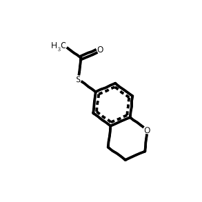 CC(=O)Sc1ccc2c(c1)CCCO2